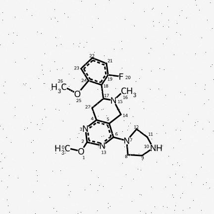 COc1nc2c(c(N3CCNCC3)n1)CN(C)C(c1c(F)cccc1OC)C2